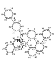 CC1(C)c2c(cccc2N(c2ccc(-c3ccccc3)cc2)c2ccc3ccccc3c2)-c2c(-c3ccccc3)ccc3cccc1c23